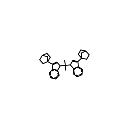 CC(C)(C1C=C(C23CCC(CC2)C3)c2ccccc21)C1C=C(C23CCC(CC2)C3)c2ccccc21